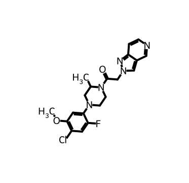 COc1cc(N2CCN(C(=O)Cn3cc4cnccc4n3)C(C)C2)c(F)cc1Cl